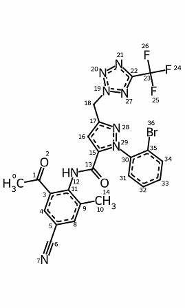 CC(=O)c1cc(C#N)cc(C)c1NC(=O)c1cc(Cn2nnc(C(F)(F)F)n2)nn1-c1ccccc1Br